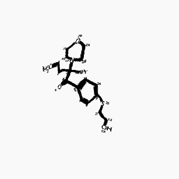 C=CCC(C(=O)c1ccc(SCCO)cc1)(C(C)C)N1CCOCC1